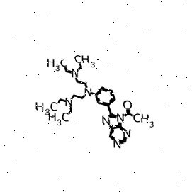 CCN(CC)CCN(CCN(CC)CC)c1cccc(-c2nc3cncnc3n2C(C)=O)c1